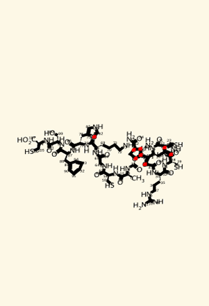 C[C@H](NC(=O)[C@@H]1CCCN1C(=O)[C@H](Cc1c[nH]cn1)NC(=O)[C@H](CS)NC(=O)[C@H](CS)NC(=O)[C@H](CCCNC(=N)N)NC(=O)CNC(=O)[C@@H](N)CC(N)=O)C(=O)N[C@@H](CS)C(=O)NCC(=O)N[C@@H](CCCCN)C(=O)N[C@@H](Cc1c[nH]cn1)C(=O)N[C@@H](Cc1ccccc1)C(=O)N[C@@H](CO)C(=O)N[C@@H](CS)C(=O)O